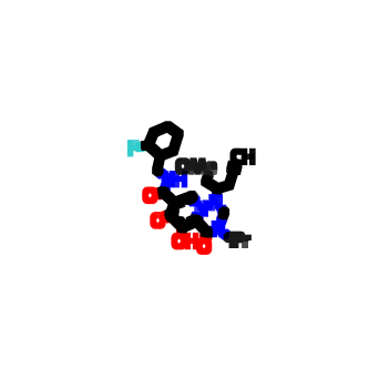 C#CCC(COC)N1CN(C(C)C)C(=O)c2c(O)c(=O)c(C(=O)NCC3CCCCC3F)cn21